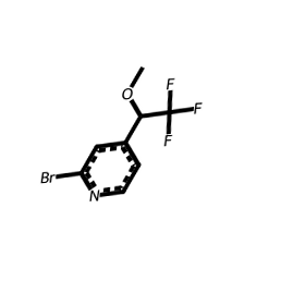 COC(c1ccnc(Br)c1)C(F)(F)F